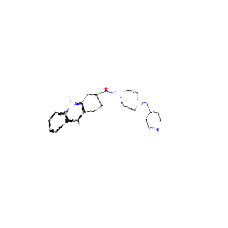 CN1CCC(CN2CCN(C(=O)C3CCc4c(nc5ccccc5c4Cl)C3)CC2)CC1